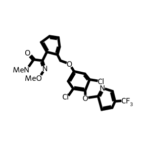 CNC(=O)C(=NOC)c1ccccc1COc1cc(Cl)c(Oc2ccc(C(F)(F)F)cn2)c(Cl)c1